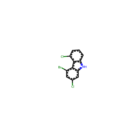 Clc1cc(Br)c2c(c1)[nH]c1cccc(Cl)c12